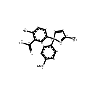 COc1ccc([N+]2(c3ccc(C#N)c(C(N)=O)c3)C=CC(C(F)(F)F)=N2)cc1